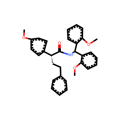 COc1ccc([C@@H](CCc2ccccc2)C(=O)NC(c2ccccc2OC)c2ccccc2OC)cc1